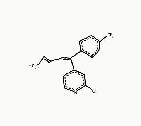 O=C(O)C=CC=C(c1ccc(C(F)(F)F)cc1)c1ccnc(Cl)c1